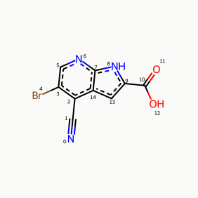 N#Cc1c(Br)cnc2[nH]c(C(=O)O)cc12